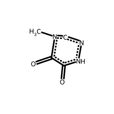 Cn1[c]n[nH]c(=O)c1=O